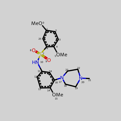 COc1ccc(OC)c(S(=O)(=O)Nc2ccc(OC)c(N3CCN(C)CC3)c2)c1